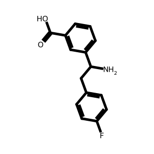 NC(Cc1ccc(F)cc1)c1cccc(C(=O)O)c1